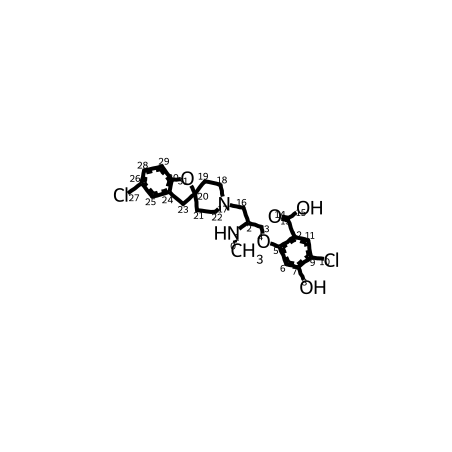 CNC(COc1cc(O)c(Cl)cc1C(=O)O)CN1CCC2(CC1)Cc1cc(Cl)ccc1O2